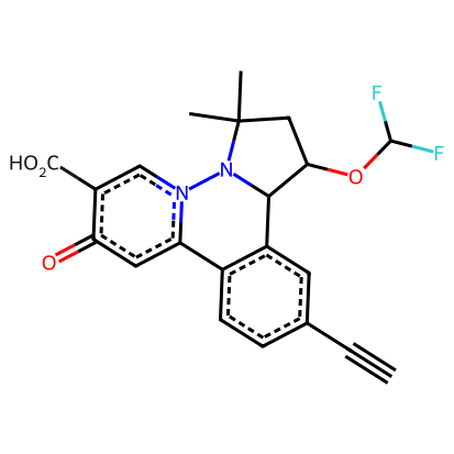 C#Cc1ccc2c(c1)C1C(OC(F)F)CC(C)(C)N1n1cc(C(=O)O)c(=O)cc1-2